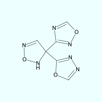 C1=NONC1(c1ncon1)c1nnco1